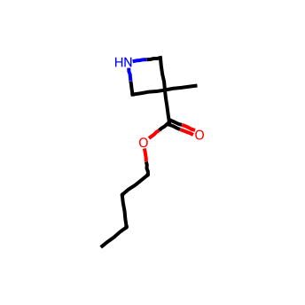 CCCCOC(=O)C1(C)CNC1